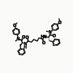 COc1ccc(N(C)C(=O)[C@H](Cc2ccccc2)NC(=O)CCCCC(=O)N[C@@H](Cc2ccccc2)C(=O)N(C)c2ccc(OC)cc2)cc1